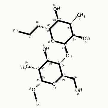 C[C@@H]1[C@@H](O)[C@@H](O[C@H]2[C@H](O)[C@@H](C)[C@@H](OI)O[C@@H]2CO)O[C@H](CCI)[C@H]1O